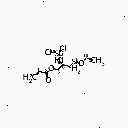 C=CC(=O)OCCC[SiH2]OCC.Cl[SiH](Cl)Cl